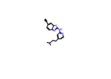 C#CC1=CC2SC(Nc3cc(CCC(C)C)ccn3)=NC2C=C1